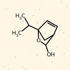 CC(C)C12C=CC(C1)C(O)O2